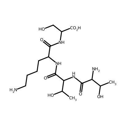 CC(O)C(N)C(=O)NC(C(=O)NC(CCCCN)C(=O)NC(CO)C(=O)O)C(C)O